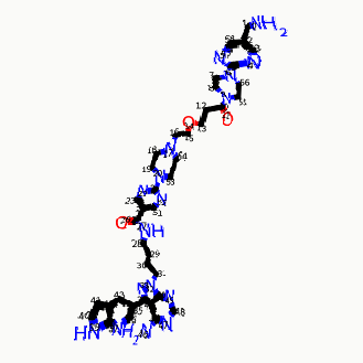 NCc1cnc(N2CCN(C(=O)CCOCCN3CCN(c4ncc(C(=O)NCCCCn5nc(-c6cnc7[nH]ccc7c6)c6c(N)ncnc65)cn4)CC3)CC2)nc1